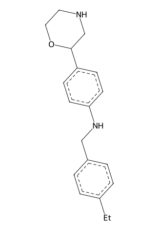 CCc1ccc(CNc2ccc(C3CNCCO3)cc2)cc1